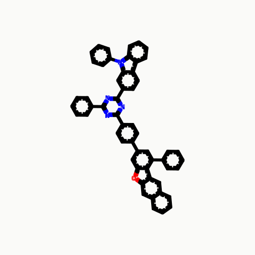 c1ccc(-c2nc(-c3ccc(-c4cc(-c5ccccc5)c5c(c4)oc4cc6ccccc6cc45)cc3)nc(-c3ccc4c5ccccc5n(-c5ccccc5)c4c3)n2)cc1